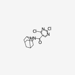 O=C(NC12CC3CC(CC(C3)C1)C2)c1cnc(Cl)nc1Cl